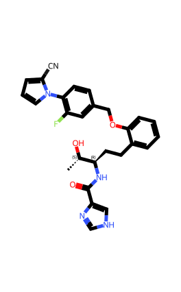 C[C@H](O)[C@@H](CCc1ccccc1OCc1ccc(-n2cccc2C#N)c(F)c1)NC(=O)c1c[nH]cn1